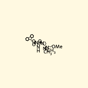 COCCCn1c(C2CCCN(C(=O)C3CNCC3NC(=O)OCC3c4ccccc4-c4ccccc43)C2)nc(C)c1C